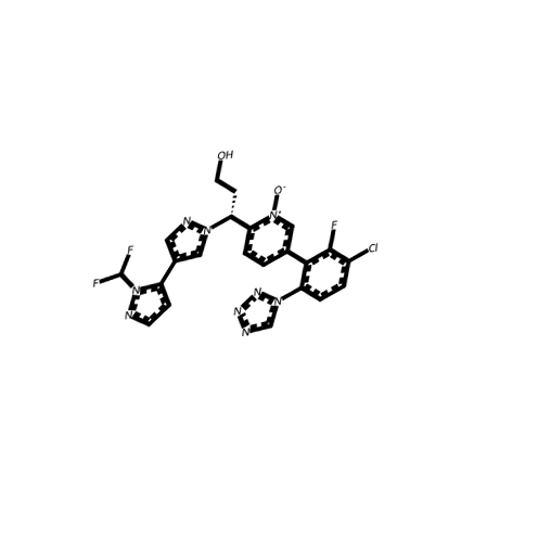 [O-][n+]1cc(-c2c(-n3cnnn3)ccc(Cl)c2F)ccc1[C@@H](CCO)n1cc(-c2ccnn2C(F)F)cn1